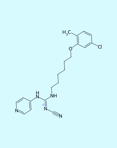 Cc1ccc(Cl)cc1OCCCCCCN/C(=N\C#N)Nc1ccncc1